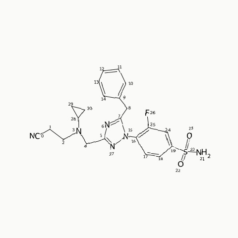 N#CCCN(Cc1nc(Cc2ccccc2)n(-c2ccc(S(N)(=O)=O)cc2F)n1)C1CC1